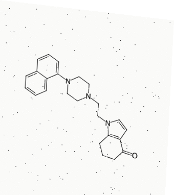 O=C1CCCc2c1ccn2CCN1CCN(c2cccc3ccccc23)CC1